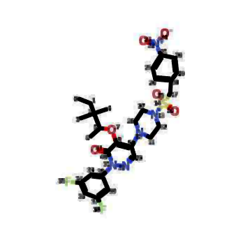 CCC(C)(C)C(C)Oc1c(N2CCN(S(=O)(=O)Cc3ccc([N+](=O)[O-])cc3)CC2)cnn(-c2cc(F)cc(F)c2)c1=O